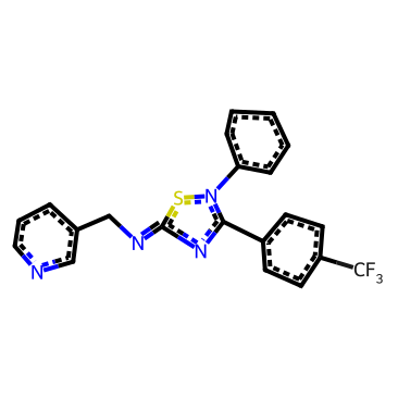 FC(F)(F)c1ccc(-c2nc(=NCc3cccnc3)sn2-c2ccccc2)cc1